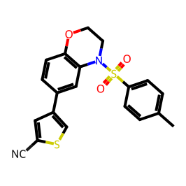 Cc1ccc(S(=O)(=O)N2CCOc3ccc(-c4csc(C#N)c4)cc32)cc1